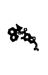 Cc1cc2cc(CN(C)C)oc2cc1C(=O)NC1(c2cccc3ccccc23)CC1